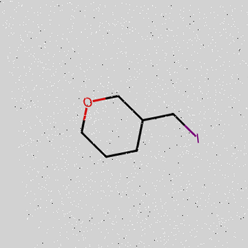 ICC1CCCOC1